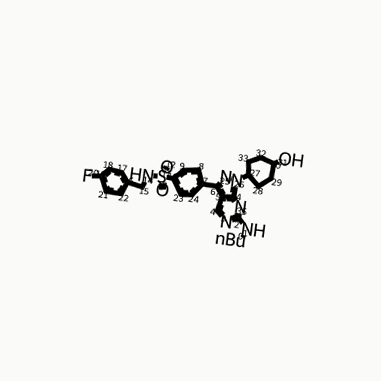 CCCCNc1ncc2c(-c3ccc(S(=O)(=O)NCc4ccc(F)cc4)cc3)nn(C3CCC(O)CC3)c2n1